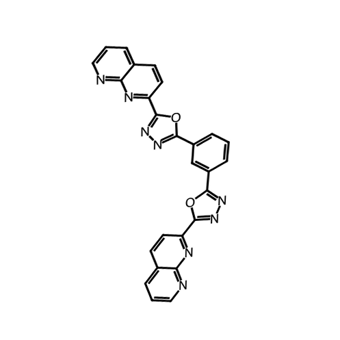 c1cc(-c2nnc(-c3ccc4cccnc4n3)o2)cc(-c2nnc(-c3ccc4cccnc4n3)o2)c1